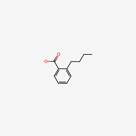 CCCCc1ccccc1C([O])=O